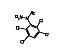 CC(=O)N(c1c(Cl)c(Cl)cc(Cl)c1Cl)[N+](=O)[O-]